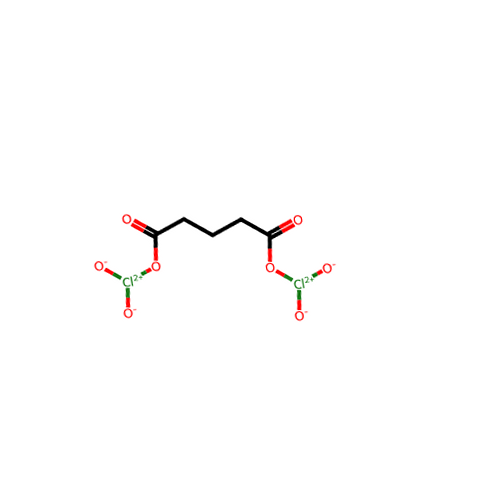 O=C(CCCC(=O)O[Cl+2]([O-])[O-])O[Cl+2]([O-])[O-]